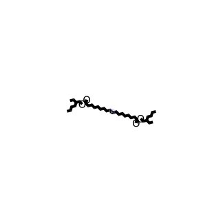 CCCCC(CC)COC(=O)CCCCCCC/C=C/CCCCCCCC(=O)OCC(CC)CCCC